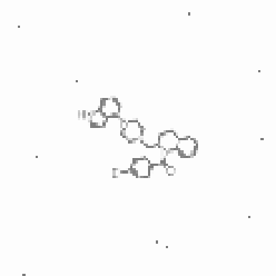 O=C(c1ccc(Cl)cc1)N1c2ccccc2CCC1CN1CCN(c2cccc3[nH]ccc23)CC1